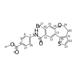 COC(=O)c1ccc(NC(=O)c2cc3c(cc2Br)OCCc2ccsc2-3)cc1